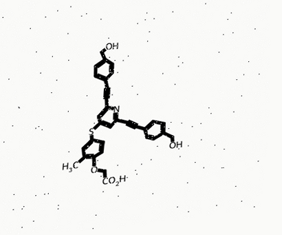 Cc1cc(Sc2cc(C#Cc3ccc(CO)cc3)nc(C#Cc3ccc(CO)cc3)c2)ccc1OCC(=O)O